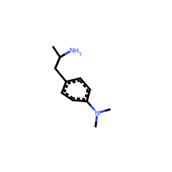 CC(N)Cc1ccc(N(C)C)cc1